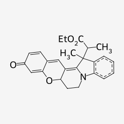 CCOC(=O)C(C)C1(C)C2=C3C=C4C=CC(=O)C=C4OC3CCN2c2ccccc21